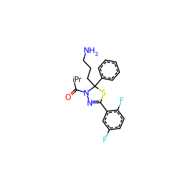 CC(C)C(=O)N1N=C(c2cc(F)ccc2F)SC1(CCCN)c1ccccc1